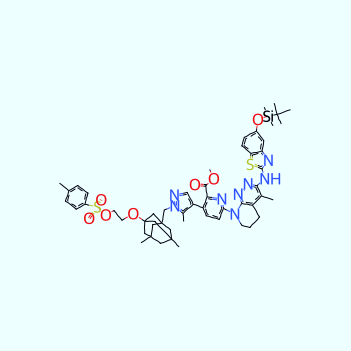 COC(=O)c1nc(N2CCCc3c2nnc(Nc2nc4cc(O[Si](C)(C)C(C)(C)C)ccc4s2)c3C)ccc1-c1cnn(CC23CC4(C)CC(C)(C2)CC(OCCOS(=O)(=O)c2ccc(C)cc2)(C4)C3)c1C